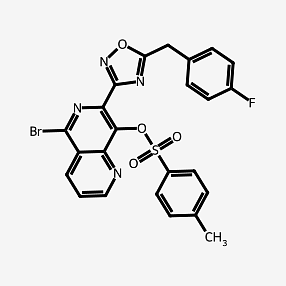 Cc1ccc(S(=O)(=O)Oc2c(-c3noc(Cc4ccc(F)cc4)n3)nc(Br)c3cccnc23)cc1